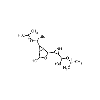 C[SiH](C)OC(C1NC1C1OC(O)C2C(C(O[SiH](C)C)C(C)(C)C)N12)C(C)(C)C